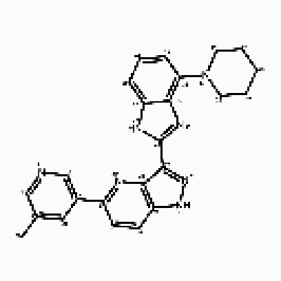 Cc1cncc(-c2ccc3[nH]nc(-c4nc5c(N6CCCCC6)cccc5[nH]4)c3n2)c1